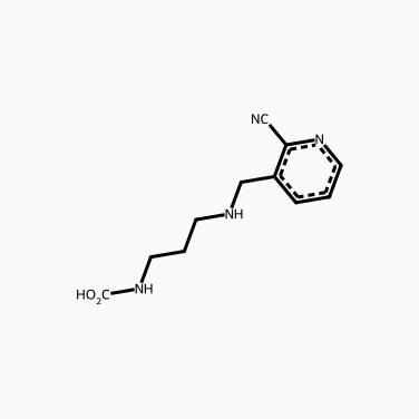 N#Cc1ncccc1CNCCCNC(=O)O